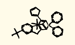 CC(C)(C)C1=C2C3=C(C(C4=CC=CC4)=C1[Si]2(c1ccccc1)c1ccccc1)c1ccc(C(C)(C)C)cc1[CH]3